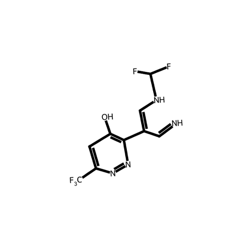 N=C/C(=C\NC(F)F)c1nnc(C(F)(F)F)cc1O